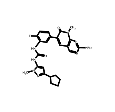 CNc1ncc2cc(-c3ccc(F)c(NC(=O)Nc4cc(C5CCCC5)nn4C)c3)c(=O)n(C)c2n1